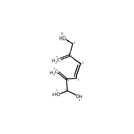 C=C(/C=C\C(=C)C(O)O)CO